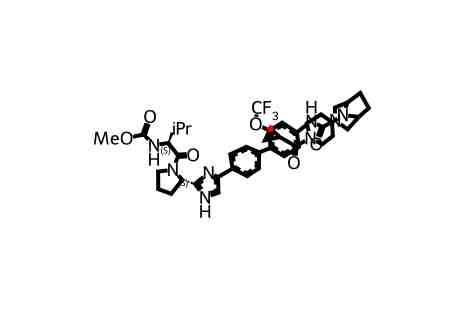 COC(=O)N[C@H](C(=O)N1CCC[C@H]1c1nc(-c2ccc(-c3ccc(NC(=O)N4CC5CCC(C4)N5C4CCN(C(=O)C5CC5)CC4)cc3OC(F)(F)F)cc2)c[nH]1)C(C)C